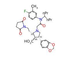 CCCC(CCC)N(C(=O)CN1C[C@H](c2ccc3c(c2)OCO3)[C@@H](C(=O)O)[C@@H]1CCN1C(=O)CCC1=O)c1ccc(F)c(C)c1